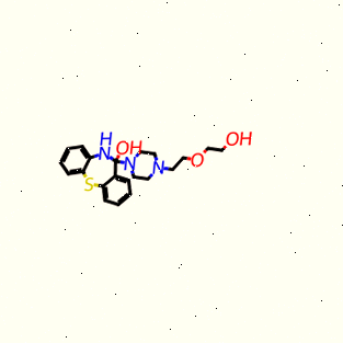 OCCOCCN1CCN(C2(O)Nc3ccccc3Sc3ccccc32)CC1